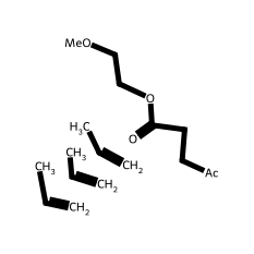 C=CC.C=CC.C=CC.COCCOC(=O)CCC(C)=O